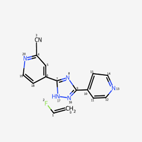 C=CF.N#Cc1cc(-c2nc(-c3ccncc3)n[nH]2)ccn1